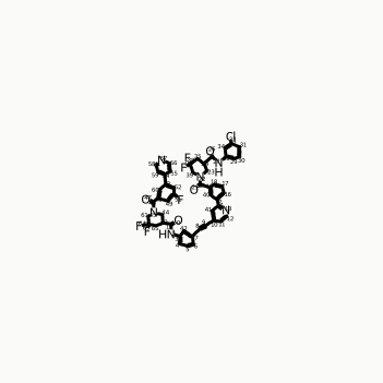 O=C(Nc1cccc(C#Cc2ccnc(-c3cccc(C(=O)N4CC(C(=O)Nc5cccc(Cl)c5)CC(F)(F)C4)c3)c2)c1)C1CN(C(=O)c2cc(F)cc(-c3ccncc3)c2)CC(F)(F)C1